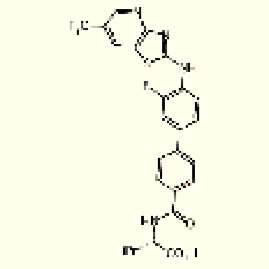 CC(C)[C@H](NC(=O)c1ccc(-c2ccc(Nc3nc4ncc(C(F)(F)F)cc4s3)c(F)c2)cc1)C(=O)O